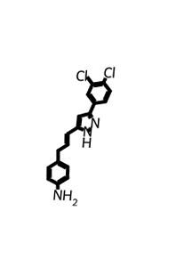 Nc1ccc(C/C=C/c2cc(-c3ccc(Cl)c(Cl)c3)n[nH]2)cc1